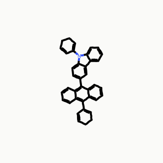 C1=CC(c2c3ccccc3c(-c3ccc4c(c3)c3ccccc3n4C3=CCCC=C3)c3ccccc23)=CCC1